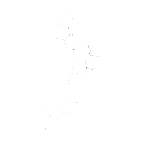 C=C(C)CC(=C)OC(CCCC(=O)CC(C)OC(=O)CC(C)=O)CCC(=C)CC(C)OC(=O)CC(C)=O